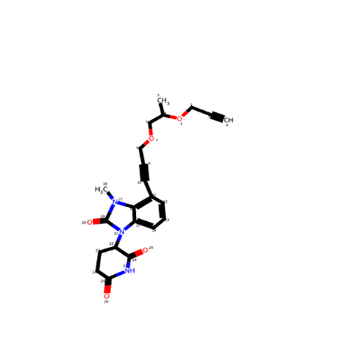 C#CCOC(C)COCC#Cc1cccc2c1n(C)c(=O)n2C1CCC(=O)NC1=O